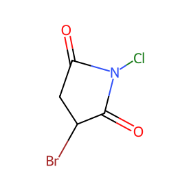 O=C1CC(Br)C(=O)N1Cl